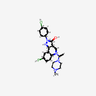 C=C(N1CCN(C(C)C)CC1)n1cc2c(=O)n(-c3ccc(Cl)cc3)nc-2c2cc(F)ccc21